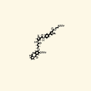 CNCCOC(=O)c1cc(-c2ccc(NC(=O)c3cc(NC(=O)CCCOc4cc5c(cc4OC)C(=O)N4CCC[C@@H]4C=N5)cn3C)cc2)cn1C